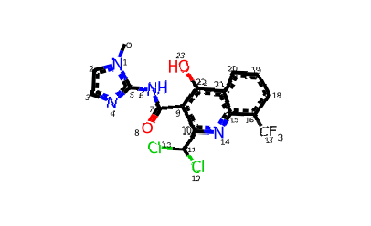 Cn1ccnc1NC(=O)c1c(C(Cl)Cl)nc2c(C(F)(F)F)cccc2c1O